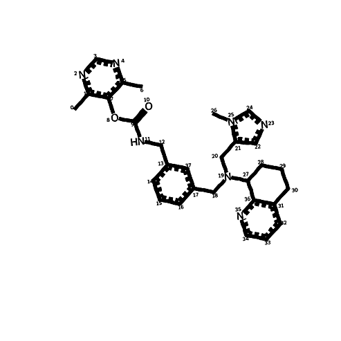 Cc1ncnc(C)c1OC(=O)NCc1cccc(CN(Cc2cncn2C)C2CCCc3cccnc32)c1